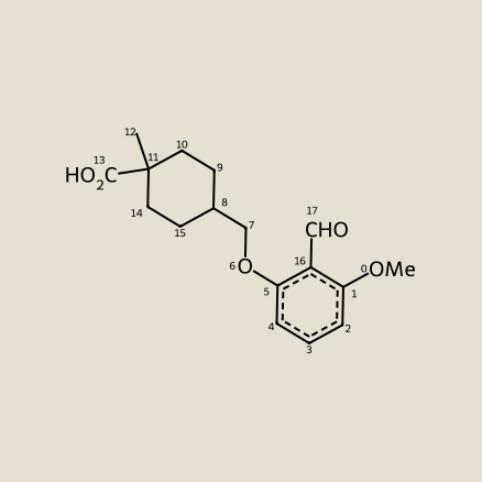 COc1cccc(OCC2CCC(C)(C(=O)O)CC2)c1C=O